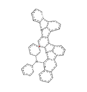 c1ccc(N(c2ccccc2)c2c3ccccc3cc3c4cccc5c6c7c8cccc9c%10ccccc%10n(c7ccc6n(c23)c45)c98)cc1